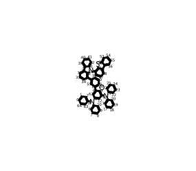 c1ccc(N(c2ccccc2)c2cc(N(c3ccccc3)c3ccccc3)c3oc4ccc(-c5cccc6c7ccccc7n(-c7cccc8c7sc7ccccc78)c56)cc4c3c2)cc1